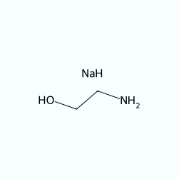 NCCO.[NaH]